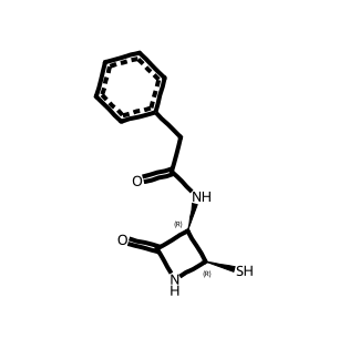 O=C(Cc1ccccc1)N[C@@H]1C(=O)N[C@@H]1S